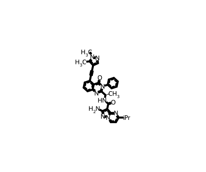 Cc1c(C#Cc2cccc3nc([C@H](C)NC(=O)c4c(N)nn5ccc(C(C)C)nc45)n(-c4ccccc4)c(=O)c23)cnn1C